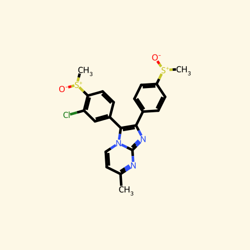 Cc1ccn2c(-c3ccc([S+](C)[O-])c(Cl)c3)c(-c3ccc([S+](C)[O-])cc3)nc2n1